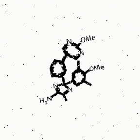 COc1ncc(-c2cccc(C3(c4cc(C)c(OC)c(C)c4)N=C(C)C(N)=N3)c2)cn1